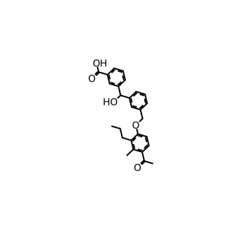 CCCc1c(OCc2cccc(C(O)c3cccc(C(=O)O)c3)c2)ccc(C(C)=O)c1C